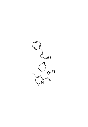 C=C(OCC)c1nncc(C)c1C1CCN(C(=O)OCc2ccccc2)CC1